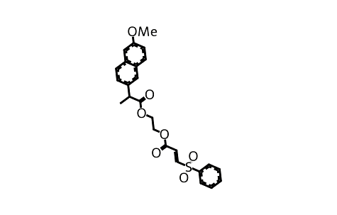 COc1ccc2cc(C(C)C(=O)OCCOC(=O)/C=C/S(=O)(=O)c3ccccc3)ccc2c1